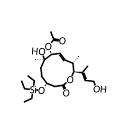 CC[Si](CC)(CC)O[C@@H]1CC[C@@](C)(O)[C@H](OC(C)=O)/C=C/[C@H](C)[C@@H](/C(C)=C/CO)OC(=O)C1